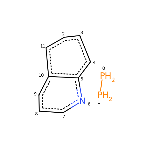 PP.c1ccc2ncccc2c1